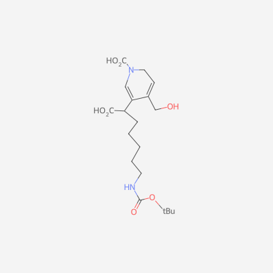 CC(C)(C)OC(=O)NCCCCCC(C(=O)O)C1=CN(C(=O)O)CC=C1CO